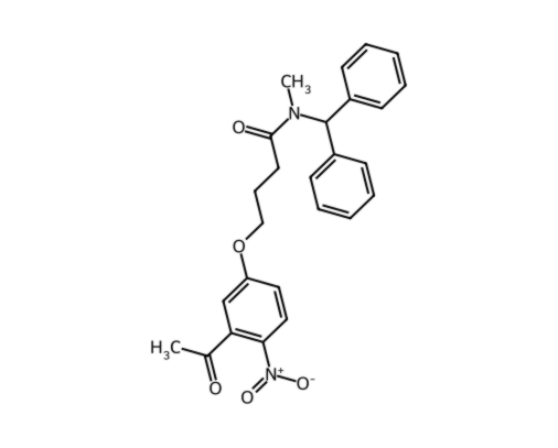 CC(=O)c1cc(OCCCC(=O)N(C)C(c2ccccc2)c2ccccc2)ccc1[N+](=O)[O-]